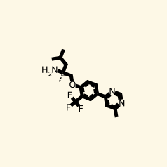 Cc1cc(-c2ccc(OC[C@@](C)(N)CC(C)C)c(C(F)(F)F)c2)ncn1